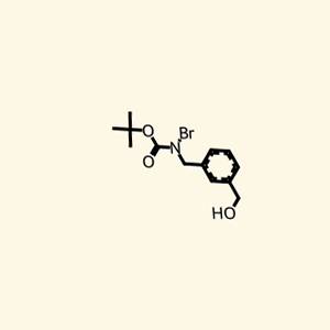 CC(C)(C)OC(=O)N(Br)Cc1cccc(CO)c1